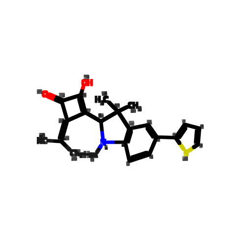 CCCCCCN1c2ccc(-c3cccs3)cc2C(C)(C)C1C1=C(O)C(=O)C1=C(C#N)C#N